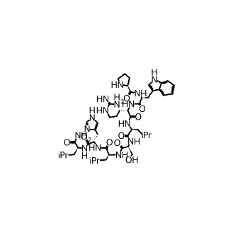 CC(C)C[C@H](NC(=O)[C@H](Cc1c[nH]cn1)NC(=O)[C@H](CC(C)C)NC(=O)[C@H](CO)NC(=O)[C@H](CC(C)C)NC(=O)[C@H](CCCNC(=N)N)NC(=O)[C@H](Cc1c[nH]c2ccccc12)NC(=O)[C@@H]1CCCN1)C(N)=O